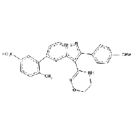 COc1ccc(-c2nn3ccc(-c4cc(C(=O)O)ccc4C)cc3c2C2=NOCCN2)cc1